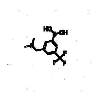 CN(C)Cc1cc(B(O)O)cc(C(F)(F)F)c1